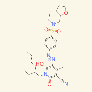 CCCCC(CC)Cn1c(O)c(/N=N/c2ccc(S(=O)(=O)N(CC)CC3CCCO3)cc2)c(C)c(C#N)c1=O